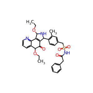 CCOC1NC(c2ccc(CS(=O)(=O)NC(=O)Cc3ccccc3)cc2C)C2=C1c1ncccc1C(OCC)C2=O